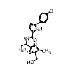 Cc1nc(C(CN)NC(=O)c2ccc(-c3ccc(Cl)cc3)[nH]2)sc1CO